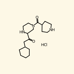 Cl.O=C(CC1CCCCC1)C1CN(C(=O)C2CCNCC2)CCN1